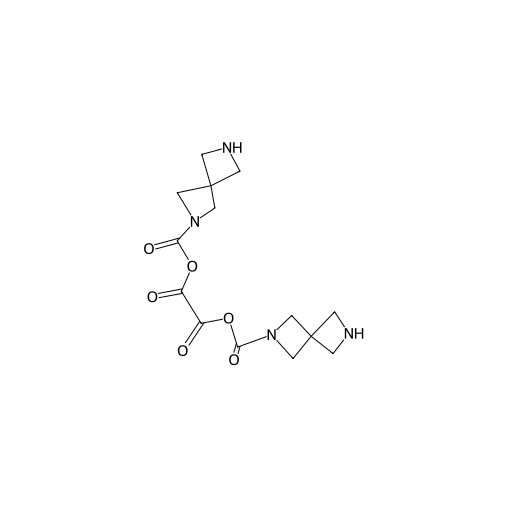 O=C(OC(=O)N1CC2(CNC2)C1)C(=O)OC(=O)N1CC2(CNC2)C1